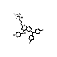 CS(=O)(=O)NCCOc1nc(NC2CCNCC2)c2cc(C(c3ccc(Cl)cc3)c3ccc(Cl)cc3)ccc2n1